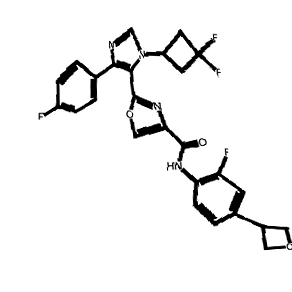 O=C(Nc1ccc(C2COC2)cc1F)c1coc(-c2c(-c3ccc(F)cc3)ncn2C2CC(F)(F)C2)n1